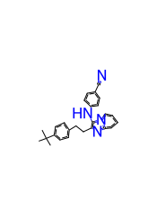 CC(C)(C)c1ccc(CCc2nc3ccccn3c2Nc2ccc(C#N)cc2)cc1